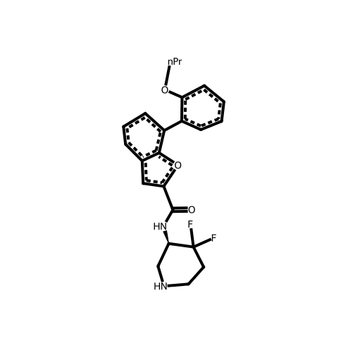 CCCOc1ccccc1-c1cccc2cc(C(=O)N[C@@H]3CNCCC3(F)F)oc12